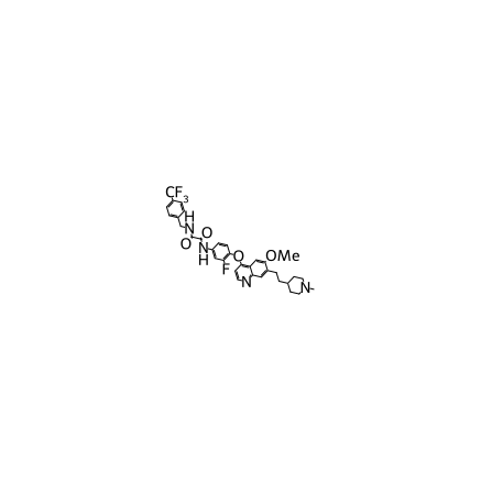 COc1cc2c(Oc3ccc(NC(=O)C(=O)NCc4ccc(C(F)(F)F)cc4)cc3F)ccnc2cc1CCC1CCN(C)CC1